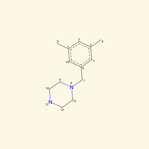 Cc1cc(C)cc(CN2CC[N]CC2)c1